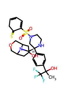 CC(O)(c1ccc([C@]2(CN3C4COCC3CC(O)C4)CN(S(=O)(=O)C3=CC=CCC3=S)CCN2)cc1)C(F)(F)F